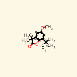 COc1cc(C(C)(C)C)c2c(c1)C(C)(C)C(=O)O2